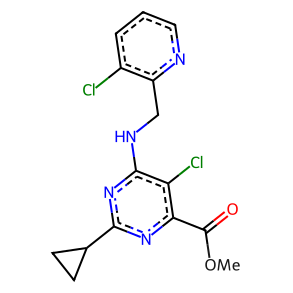 COC(=O)c1nc(C2CC2)nc(NCc2ncccc2Cl)c1Cl